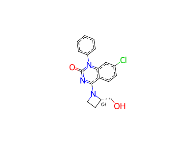 O=c1nc(N2CC[C@H]2CO)c2ccc(Cl)cc2n1-c1ccccc1